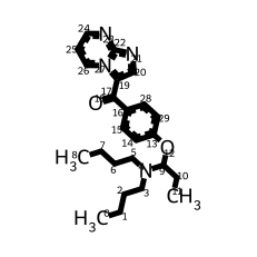 CCCCN(CCCC)C(CC)Oc1ccc(C(=O)c2cnc3ncccn23)cc1